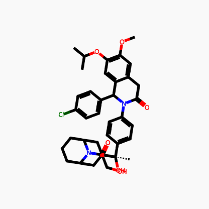 COc1cc2c(cc1OC(C)C)C(c1ccc(Cl)cc1)N(c1ccc([C@@](C)(O)C3CC4CCCC(C3)N4C(=O)CO)cc1)C(=O)C2